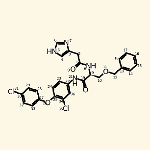 O=C(Cc1c[nH]cn1)N[C@@H](COCc1ccccc1)C(=O)Nc1ccc(Oc2ccc(Cl)cc2)c(Cl)c1